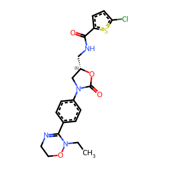 CCN1OCCN=C1c1ccc(N2C[C@H](CNC(=O)c3ccc(Cl)s3)OC2=O)cc1